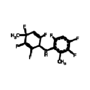 Cc1c(F)c(F)cc(F)c1BC1C(F)=CC(C)(F)C(F)=C1F